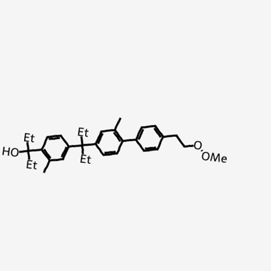 CCC(O)(CC)c1ccc(C(CC)(CC)c2ccc(-c3ccc(CCOOC)cc3)c(C)c2)cc1C